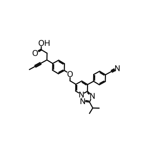 CC#CC(CC(=O)O)c1ccc(OCc2cc(-c3ccc(C#N)cc3)c3nc(C(C)C)nn3c2)cc1